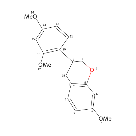 COc1ccc2c(c1)OCC(c1ccc(OC)cc1OC)C2